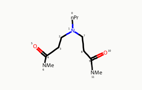 CCCN(CCC(=O)NC)CCC(=O)NC